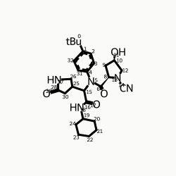 CC(C)(C)c1ccc(N(C(=O)[C@H]2C[C@@H](O)CN2C#N)C(C(=O)NC2CCCCC2)C2CNC(=O)C2)cc1